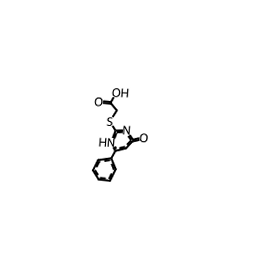 O=C(O)CSc1nc(=O)cc(-c2ccccc2)[nH]1